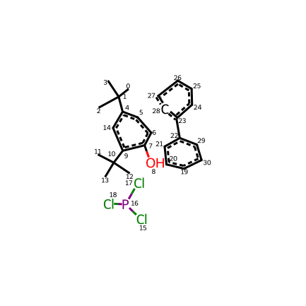 CC(C)(C)c1ccc(O)c(C(C)(C)C)c1.ClP(Cl)Cl.c1ccc(-c2ccccc2)cc1